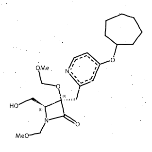 COCO[C@@]1(Cc2cc(OC3CCCCCC3)ccn2)C(=O)N(COC)[C@H]1CO